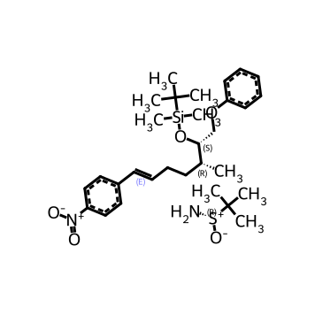 CC(C)(C)[S@@+](N)[O-].C[C@H](CC/C=C/c1ccc([N+](=O)[O-])cc1)[C@@H](COc1ccccc1)O[Si](C)(C)C(C)(C)C